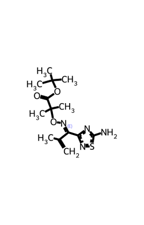 C=C(C)/C(=N\OC(C)(C)C(=O)OC(C)(C)C)c1nsc(N)n1